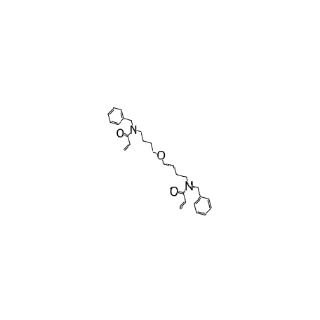 C=CC(=O)N(CCCCOCCCCN(Cc1ccccc1)C(=O)C=C)Cc1ccccc1